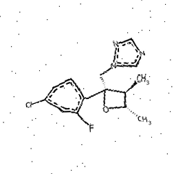 C[C@@H]1O[C@@](Cn2cncn2)(c2ccc(Cl)cc2F)[C@H]1C